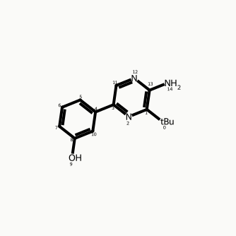 CC(C)(C)c1nc(-c2cccc(O)c2)cnc1N